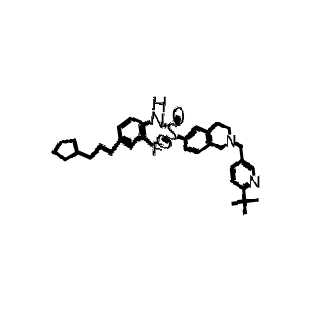 CC(C)(C)c1ccc(CN2CCc3cc(S(=O)(=O)Nc4ccc(CCCC5CCCC5)cc4F)ccc3C2)cn1